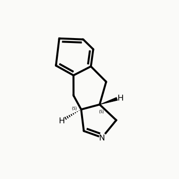 C1=NC[C@H]2Cc3ccccc3C[C@H]12